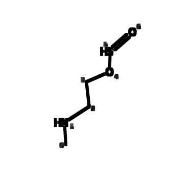 CNCCO[SH]=O